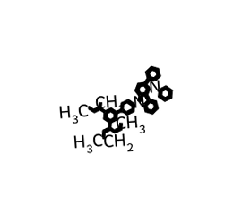 C=C(C)/C=C(\C=C/C)c1cc(/C(C)=C/CC)cc(C2C=CC(n3c4ccccc4c4c3ccc3c5ccccc5n(-c5ccccc5)c34)=CC2)c1